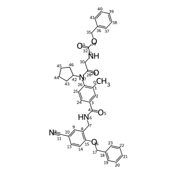 Cc1cc(C(=O)NCc2cc(C#N)ccc2OCc2ccccc2)ccc1N(C(=O)CNC(=O)OCc1ccccc1)C1CCCC1